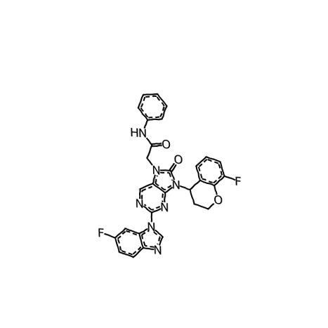 O=C(Cn1c(=O)n(C2CCOc3c(F)cccc32)c2nc(-n3cnc4ccc(F)cc43)ncc21)Nc1ccccc1